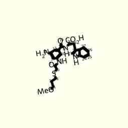 COCCCSCC(=O)Nc1cc(N)cc(C(=O)NC(CC2=CNC3C=CC=CC23)C(=O)O)c1